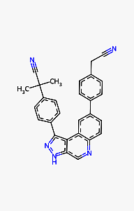 CC(C)(C#N)c1ccc(-c2n[nH]c3cnc4ccc(-c5ccc(CC#N)cc5)cc4c23)cc1